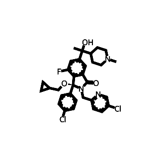 CN1CCC(C(C)(O)c2cc(F)c3c(c2)C(=O)N(Cc2ccc(Cl)cn2)[C@@]3(OCC2CC2)c2ccc(Cl)cc2)CC1